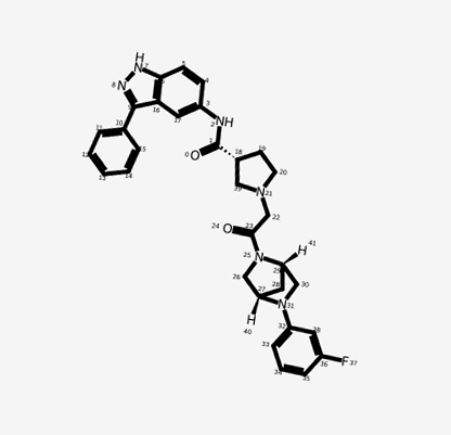 O=C(Nc1ccc2[nH]nc(-c3ccccc3)c2c1)[C@@H]1CCN(CC(=O)N2C[C@@H]3C[C@H]2CN3c2cccc(F)c2)C1